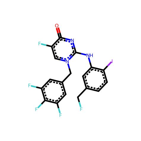 O=c1nc(Nc2cc(CF)ccc2I)n(Cc2cc(F)c(F)c(F)c2)cc1F